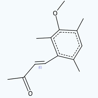 COc1c(C)cc(C)c(/C=C/C(C)=O)c1C